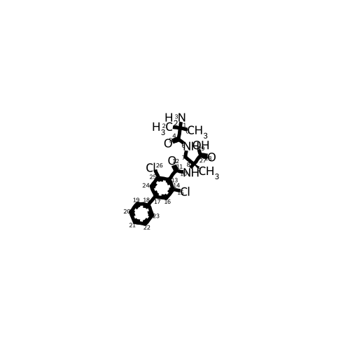 CC(C)(N)C(=O)NC[C@@](C)(NC(=O)c1c(Cl)cc(-c2ccccc2)cc1Cl)C(=O)O